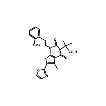 COc1ccccc1CCn1c(=O)n(C(C)(C)C(=O)O)c(=O)c2c(C)c(-c3ncco3)sc21